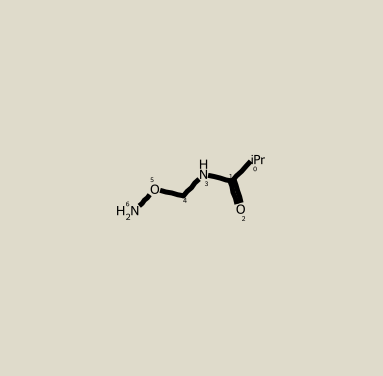 CC(C)C(=O)NCON